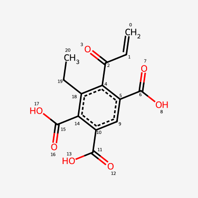 C=CC(=O)c1c(C(=O)O)cc(C(=O)O)c(C(=O)O)c1CC